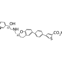 O=C(O)c1cc(-c2ccc(-c3ccc4c(c3)CC[C@H](CNC[C@@H](O)c3cccnc3)O4)cc2)cs1